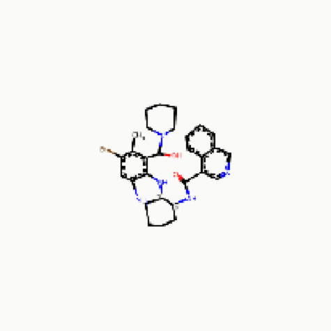 Cc1c(Br)cc(N)c(N[C@@H]2CCCC[C@@H]2NC(=O)c2cncc3ccccc23)c1C(O)N1CCCCC1